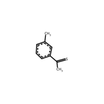 CC(=S)c1cccc(C)c1